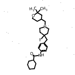 CC1(C)CC(CN2CCC(F)(Cc3ccc(NC(=O)C4CCCCC4)cc3)CC2)CCO1